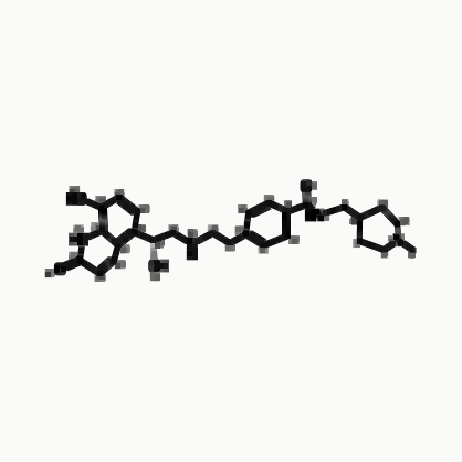 CN1CCC(CNC(=O)c2ccc(CCNC[C@H](O)c3ccc(O)c4[nH]c(=O)ccc34)cc2)CC1